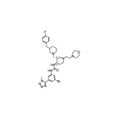 Cn1nnnc1-c1cc(Br)cc(NC(=O)N[C@@H]2CCN(CCN3CCOCC3)C[C@H]2CN2CCCC(Cc3ccc(F)cc3)C2)c1